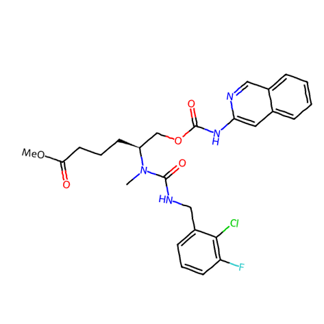 COC(=O)CCC[C@@H](COC(=O)Nc1cc2ccccc2cn1)N(C)C(=O)NCc1cccc(F)c1Cl